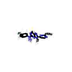 CCn1c(-c2ccnc(NC)n2)nc2cnc(Nc3ccc(F)cc3)nc21